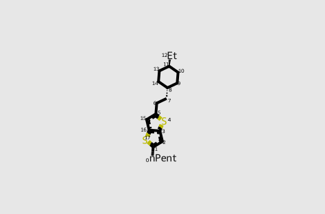 CCCCCc1cc2sc(CC[C@H]3CC[C@H](CC)CC3)cc2s1